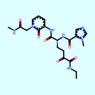 CCNC(=O)C(=O)CC[C@H](NC(=O)c1cncn1C)C(=O)Nc1cccn(CC(=O)NC)c1=O